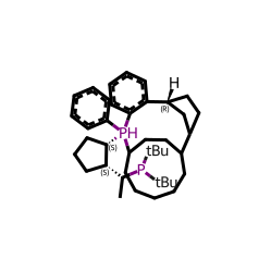 CC([C@@H]1CCC[C@@H]1[PH]1(c2ccccc2)c2ccccc2[C@@H]2CCC(C2)C2CCCCCC1CC2)P(C(C)(C)C)C(C)(C)C